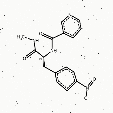 CNC(=O)[C@H](Cc1ccc([N+](=O)[O-])cc1)NC(=O)c1cccnc1